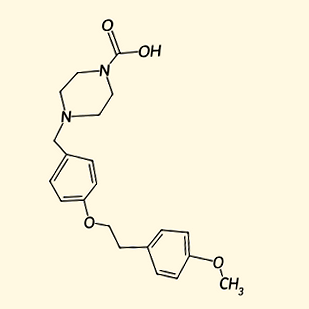 COc1ccc(CCOc2ccc(CN3CCN(C(=O)O)CC3)cc2)cc1